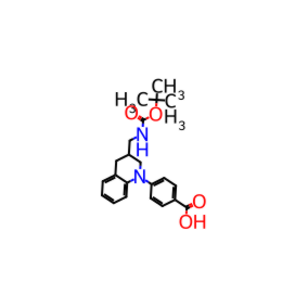 CC(C)(C)OC(=O)NCC1Cc2ccccc2N(c2ccc(C(=O)O)cc2)C1